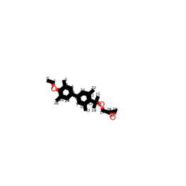 CCOc1c(C)cc(-c2cc(C)c(C(C)(C)OCC3CO3)c(C)c2)cc1C